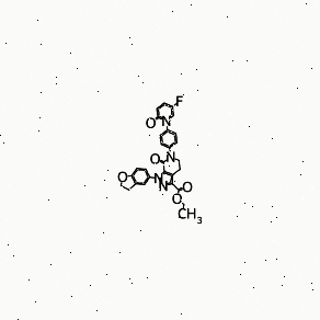 CCOC(=O)c1nn(-c2ccc3c(c2)CCO3)c2c1CCN(c1ccc(-n3cc(F)ccc3=O)cc1)C2=O